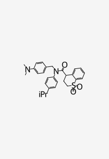 CC(C)c1ccc(N(Cc2ccc(N(C)C)cc2)C(=O)C2CCS(=O)(=O)c3ccccc32)cc1